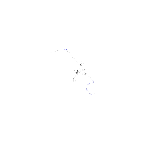 CC/C=C\C/C=C\C/C=C\C/C=C\CCCCC(=O)O[C@H](COC(=O)CCCCCCCCC/C=C\CCCCCCCC)COP(=O)([O-])OCC[N+](C)(C)C